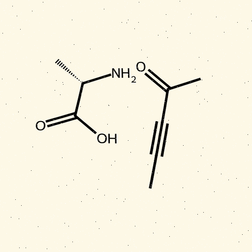 CC#CC(C)=O.C[C@H](N)C(=O)O